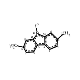 Cc1ccc2c3ccc(C)cc3n(I)c2c1